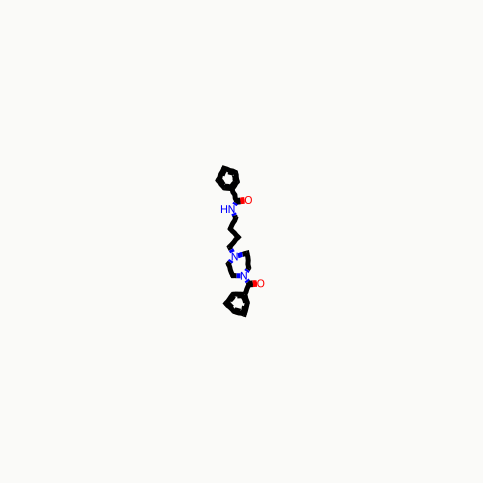 O=C(NCCCCN1CCN(C(=O)c2ccccc2)CC1)c1ccccc1